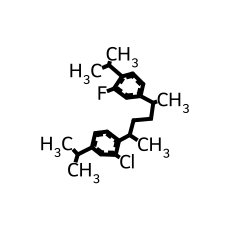 CC(C)c1ccc(C(C)CCC(C)c2ccc(C(C)C)c(F)c2)c(Cl)c1